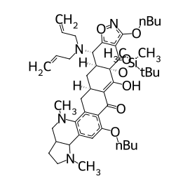 C=CCN(CC=C)[C@@H]1c2onc(OCCCC)c2C(=O)[C@@]2(O[Si](C)(C)C(C)(C)C)C(O)=C3C(=O)c4c(OCCCC)cc5c(c4C[C@H]3C[C@@H]12)N(C)CC1CCN(C)C51